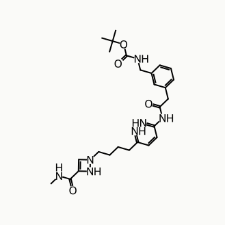 CNC(=O)c1cn(CCCCC(=N)/C=C\C(=N)NC(=O)Cc2cccc(CNC(=O)OC(C)(C)C)c2)[nH]1